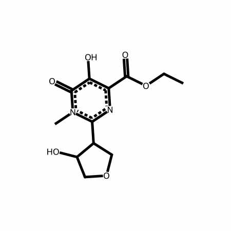 CCOC(=O)c1nc(C2COCC2O)n(C)c(=O)c1O